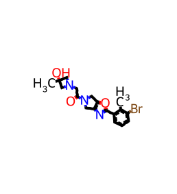 Cc1c(Br)cccc1-c1nc2c(o1)CN(C(=O)CN1CC(C)(O)C1)C2